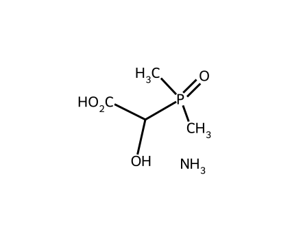 CP(C)(=O)C(O)C(=O)O.N